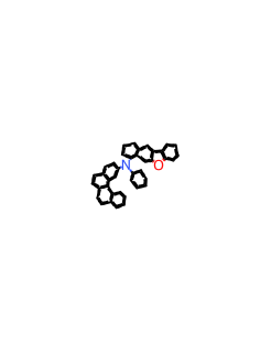 c1ccc(N(c2ccc3ccc4ccc5ccccc5c4c3c2)c2cccc3cc4c(cc23)oc2ccccc24)cc1